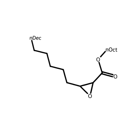 CCCCCCCCCCCCCCCC1OC1C(=O)OCCCCCCCC